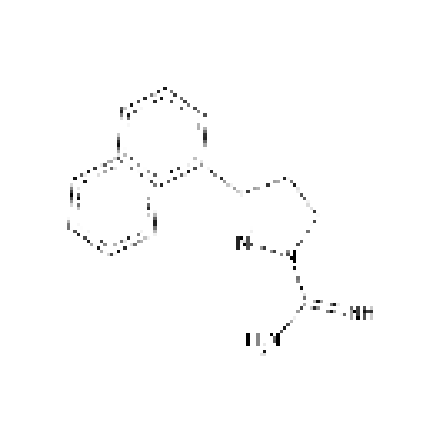 N=C(N)N1CCC(c2cccc3ccccc23)=N1